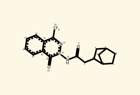 O=C(CC1CC2CCC1C2)Nn1nc(C(F)(F)F)c2ccccc2c1=O